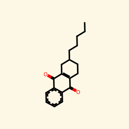 CCCCCC1CCC2=C(C1)C(=O)c1ccccc1C2=O